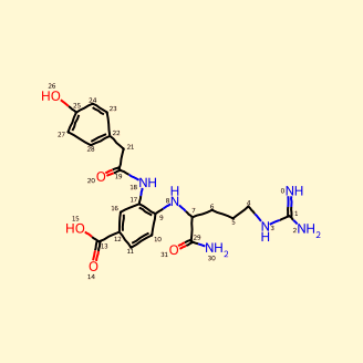 N=C(N)NCCCC(Nc1ccc(C(=O)O)cc1NC(=O)Cc1ccc(O)cc1)C(N)=O